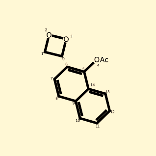 C1COO1.CC(=O)Oc1cccc2ccccc12